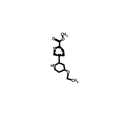 CCOC1CCNC(c2ccc(C(=O)OC)nc2)C1